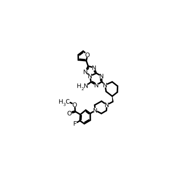 COC(=O)c1cc(N2CCN(C[C@@H]3CCCN(c4nc(N)n5nc(-c6ccco6)nc5n4)C3)CC2)ccc1F